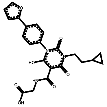 O=C(O)CNC(=O)c1c(O)n(-c2ccc(-c3ccco3)cc2)c(=O)n(CCC2CC2)c1=O